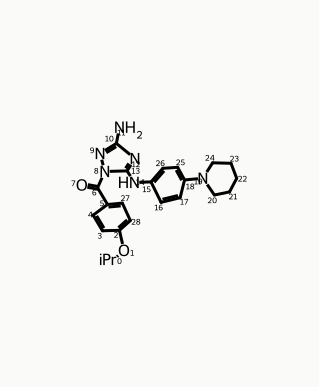 CC(C)Oc1ccc(C(=O)n2nc(N)nc2Nc2ccc(N3CCCCC3)cc2)cc1